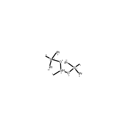 CC(C)[Si](C)(O[SiH](C)O[Si](C)(C(C)C)C(C)C)C(C)C